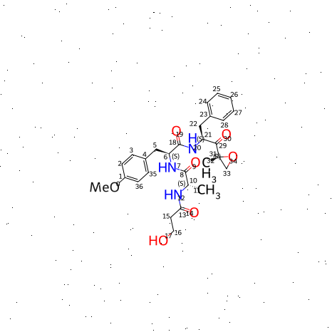 COc1ccc(C[C@H](NC(=O)[C@H](C)NC(=O)CCO)C(=O)N[C@@H](Cc2ccccc2)C(=O)[C@@]2(C)CO2)cc1